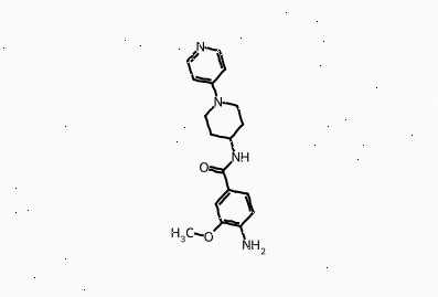 COc1cc(C(=O)NC2CCN(c3ccncc3)CC2)ccc1N